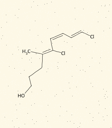 C\C(CCCO)=C(Cl)/C=C\C=C\Cl